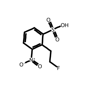 O=[N+]([O-])c1cccc(S(=O)(=O)O)c1CCF